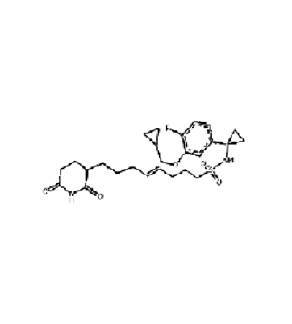 O=C1CCC(CCC/C=C/CCCS(=O)(=O)NC2(c3ccc(F)c(OCC4CC4)c3)CC2)C(=O)N1